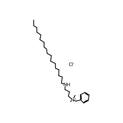 CCCCCCCCCCCCCCCCCCNCCC[N+](C)(C)Cc1ccccc1.[Cl-]